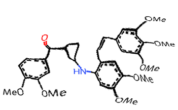 COc1ccc(C(=O)C2CC2Nc2cc(OC)c(OC)cc2/C=C\c2cc(OC)c(OC)c(OC)c2)cc1OC